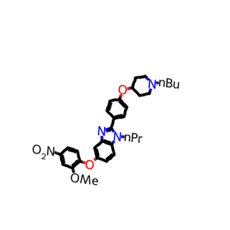 CCCCN1CCC(Oc2ccc(-c3nc4cc(Oc5ccc([N+](=O)[O-])cc5OC)ccc4n3CCC)cc2)CC1